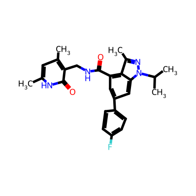 Cc1cc(C)c(CNC(=O)c2cc(-c3ccc(F)cc3)cc3c2c(C)nn3C(C)C)c(=O)[nH]1